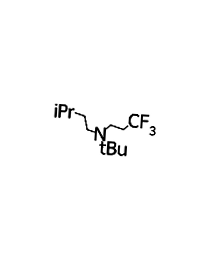 CC(C)CCN(CCC(F)(F)F)C(C)(C)C